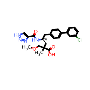 COCC(C)(C[C@@H](Cc1ccc(-c2cccc(Cl)c2)cc1)NC(=O)c1c[nH]nn1)C(=O)O